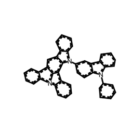 c1ccc(-n2c3ccccc3c3cc(-n4c5ccccc5c5cc6c7ccccc7n7c8ccccc8c(c54)c67)ccc32)cc1